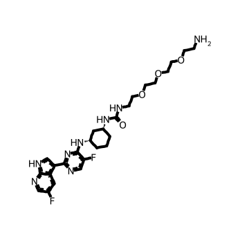 NCCOCCOCCOCCNC(=O)N[C@@H]1CCC[C@H](Nc2nc(-c3c[nH]c4ncc(F)cc34)ncc2F)C1